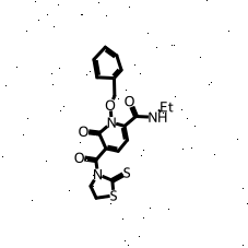 [CH2]CNC(=O)c1ccc(C(=O)N2CCSC2=S)c(=O)n1OCc1ccccc1